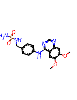 COc1cc2ncnc(Nc3ccc(CNS(N)(=O)=O)cc3)c2cc1OC